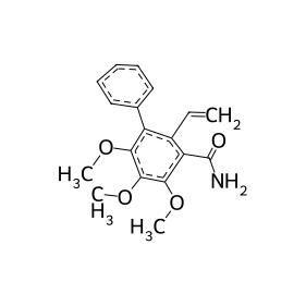 C=Cc1c(C(N)=O)c(OC)c(OC)c(OC)c1-c1ccccc1